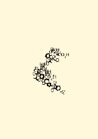 CC1COc2ccccc2N1C(=O)C(Cl)Cl.CCNc1nc(Cl)nc(NC(C)(C)C)n1.CCOC(=O)/C(Cl)=C/c1cc(N2C(=O)C3=C(CCCC3)C2=O)ccc1Cl.CCc1cccc(C)c1N(C(=O)CCl)C(C)COC.C[S+](C)C.O=C(O)CNCP(=O)([O-])O